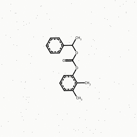 Cc1cccc(OC(=O)OC(C)c2ccccc2)c1C